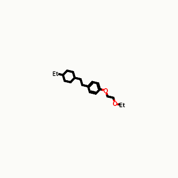 CCOCCOc1ccc(CCC2CCC(CC)CC2)cc1